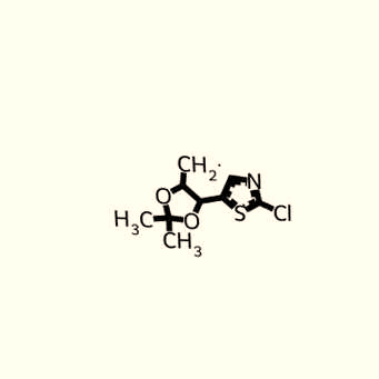 [CH2]C1OC(C)(C)OC1c1cnc(Cl)s1